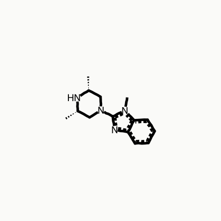 C[C@@H]1CN(c2nc3ccccc3n2C)C[C@H](C)N1